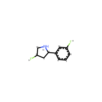 Fc1cccc(C2CC(F)CN2)c1